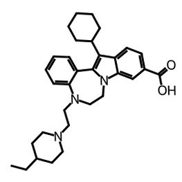 CCC1CCN(CCN2CCn3c(c(C4CCCCC4)c4ccc(C(=O)O)cc43)-c3ccccc32)CC1